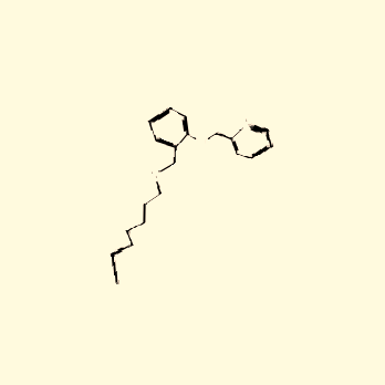 CCCCCCCNCc1ccccc1OCc1ccccn1